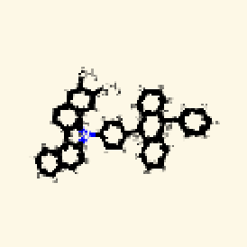 Cc1cc2ccc3c4c5ccccc5ccc4n(-c4ccc(-c5c6ccccc6c(-c6ccccc6)c6ccccc56)cc4)c3c2cc1C